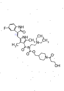 CCN(CC)CCN(C(=O)OCC1CCN(C(=O)CCO)CC1)C(=O)c1c(C)[nH]c(/C=C2\C(=O)Nc3ccc(F)cc32)c1C